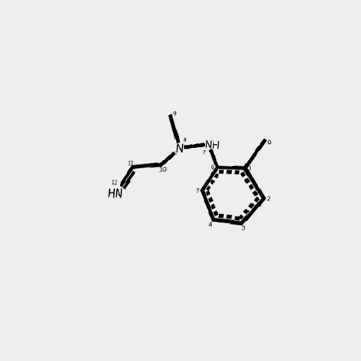 Cc1ccccc1NN(C)CC=N